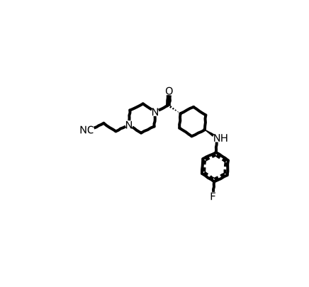 N#CCCN1CCN(C(=O)[C@H]2CC[C@H](Nc3ccc(F)cc3)CC2)CC1